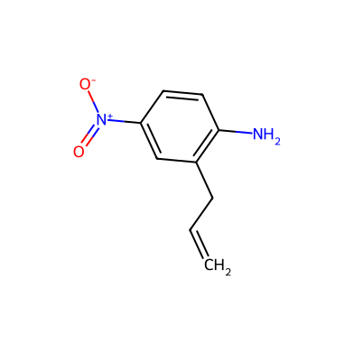 C=CCc1cc([N+](=O)[O-])ccc1N